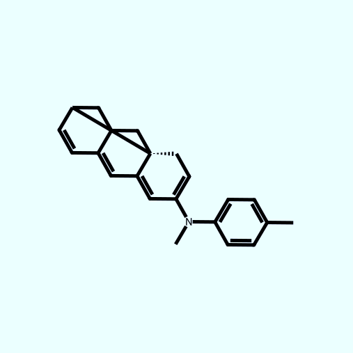 Cc1ccc(N(C)C2=CC[C@@]34CC5CC3C=CC5=CC4=C2)cc1